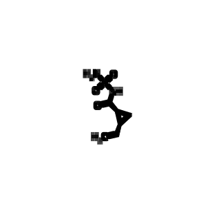 C=C[C@@H]1C[C@@H]1C(=O)NS(N)(=O)=O